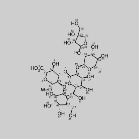 CO[C@@H]1O[C@H](C(=O)O)[C@@H](O)[C@H](O[C@@H]2O[C@H](CO)[C@H](O)[C@H](O)C2O[C@@H]2O[C@@H](C)[C@H](O)[C@@H](O)[C@H]2O[C@@H]2OC[C@](O)(CO)[C@H]2O)[C@H]1OC1O[C@H](CO)[C@H](O)[C@H](O)[C@H]1O